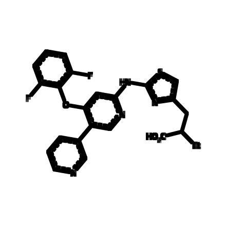 CCC(Cc1csc(Nc2cc(Oc3c(F)cccc3F)c(-c3cccnc3)cn2)n1)C(=O)O